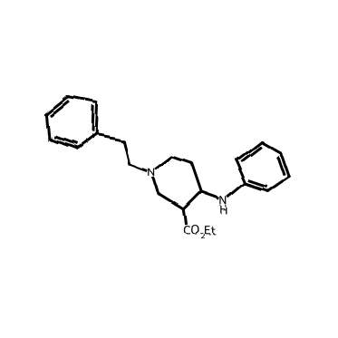 CCOC(=O)C1CN(CCc2ccccc2)CCC1Nc1ccccc1